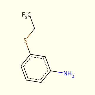 Nc1cccc(SCC(F)(F)F)c1